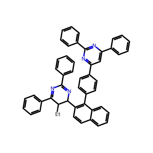 CCC1C(c2ccccc2)=NC(c2ccccc2)=NC1c1ccc2ccccc2c1-c1ccc(-c2cc(-c3ccccc3)nc(-c3ccccc3)n2)cc1